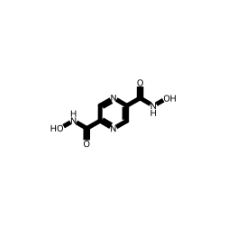 O=C(NO)c1cnc(C(=O)NO)cn1